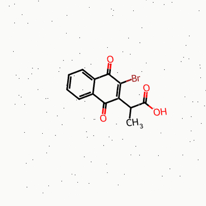 CC(C(=O)O)C1=C(Br)C(=O)c2ccccc2C1=O